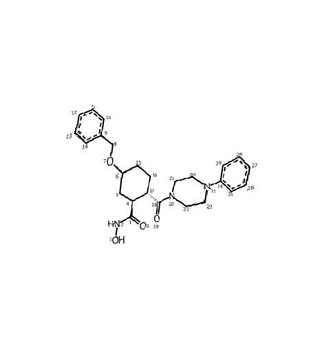 O=C(NO)[C@H]1CC(OCc2ccccc2)CC[C@@H]1C(=O)N1CCN(c2ccccc2)CC1